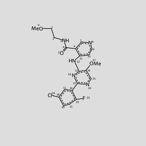 COCCNC(=O)c1cnccc1Nc1nc(-c2cc(Cl)ccc2F)ncc1OC